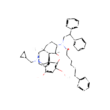 COc1cc(O)c2c3c1O[C@H]1[C@H](N(CC(c4ccccc4)c4ccccc4)C(=O)CCCCCc4ccccc4)CC[C@H]4[C@@H](C2)N(CC2CC2)CC[C@@]341